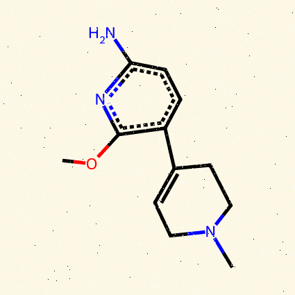 COc1nc(N)ccc1C1=CCN(C)CC1